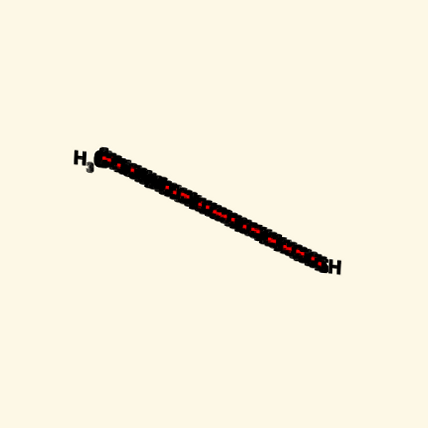 COS(=S)(=S)SSSSSSSSSSSSSSSSSSSSSSSSSSSSSSSSSSSSSSSSSSSSSSSSSSSSSSSSSSSSSSSSSSSSSSSSSSSSSSSSSSSSSSSS